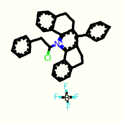 ClC(Cc1ccccc1)[n+]1c2c(c(-c3ccccc3)c3c1-c1ccccc1CC3)CCc1ccccc1-2.F[B-](F)(F)F